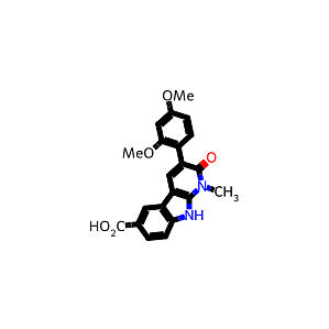 COc1ccc(-c2cc3c4cc(C(=O)O)ccc4[nH]c3n(C)c2=O)c(OC)c1